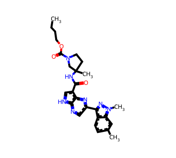 CCCCOC(=O)N1CCC(C)(NC(=O)c2c[nH]c3ncc(-c4nn(C)c5cc(C)ccc45)nc23)C1